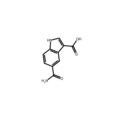 NC(=O)c1ccc2[nH]cc(C(=O)O)c2c1